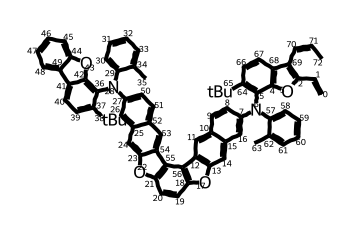 C=Cc1oc2c(N(c3ccc4cc5c(cc4c3)oc3ccc4oc6cc7cc(N(c8ccccc8C)c8c(C(C)(C)C)ccc9c8oc8ccccc89)ccc7cc6c4c35)c3ccccc3C)c(C(C)(C)C)ccc2c1/C=C\C